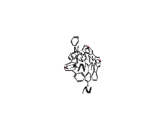 N#Cc1ccc(-c2c(-n3c4ccccc4c4ccccc43)c(-n3c4ccccc4c4ccccc43)c(-n3c4ccccc4c4c3c3ccccc3n4-c3ccccc3)c(-n3c4ccccc4c4ccccc43)c2-n2c3ccccc3c3ccccc32)cc1